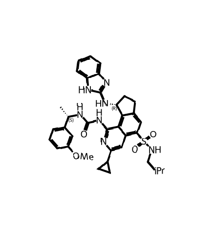 COc1cccc([C@H](C)NC(=O)Nc2nc(C3CC3)cc3c(S(=O)(=O)NCC(C)C)cc4c(c23)[C@H](Nc2nc3ccccc3[nH]2)CC4)c1